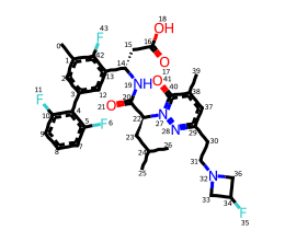 Cc1cc(-c2c(F)cccc2F)cc([C@H](CC(=O)O)NC(=O)[C@H](CC(C)C)n2nc(CCN3CC(F)C3)cc(C)c2=O)c1F